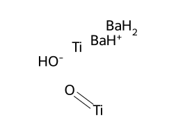 [BaH+].[BaH2].[OH-].[O]=[Ti].[Ti]